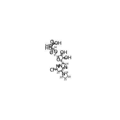 O=P(O)(O)CP(=O)(O)OC[C@H]1OC(c2cnc3c(N4CCCC4)cc(Cl)nn23)[C@H](O)[C@@H]1O